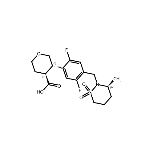 C[C@H]1CCCS(=O)(=O)N1Cc1cc(F)c([C@H]2COCC[C@@H]2C(=O)O)cc1F